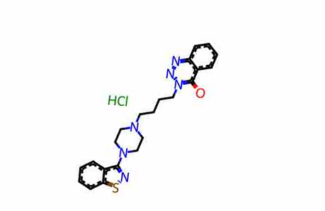 Cl.O=c1c2ccccc2nnn1CCCCN1CCN(c2nsc3ccccc23)CC1